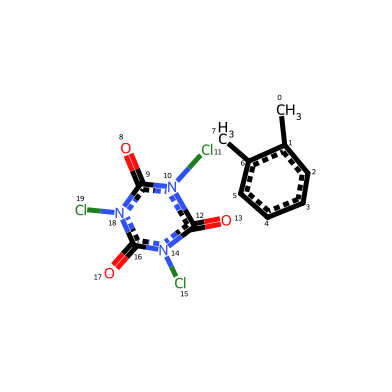 Cc1ccccc1C.O=c1n(Cl)c(=O)n(Cl)c(=O)n1Cl